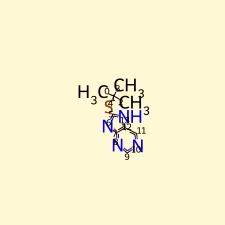 CC(C)(C)Sc1nc2ncncc2[nH]1